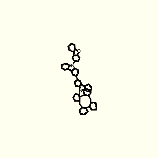 c1ccc2c(c1)Cc1ccccc1-c1c(cccc1-n1c3ccccc3c3cc(-c4ccc5c(c4)c4ccccc4n5-c4ccc5oc6ccccc6c5c4)ccc31)Cc1ccccc1-2